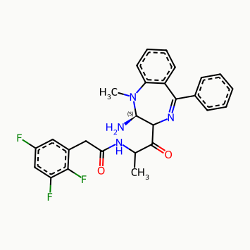 CC(NC(=O)Cc1cc(F)cc(F)c1F)C(=O)C1N=C(c2ccccc2)c2ccccc2N(C)[C@@H]1N